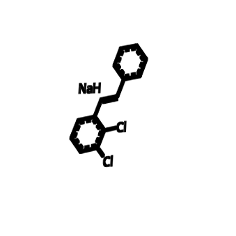 Clc1cccc(C=Cc2ccccc2)c1Cl.[NaH]